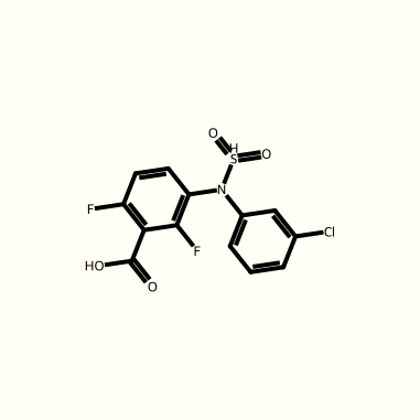 O=C(O)c1c(F)ccc(N(c2cccc(Cl)c2)[SH](=O)=O)c1F